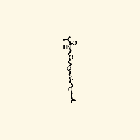 CC(C)CCOCCOCCOCCOCCNC(=O)C(C)C